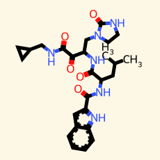 CC(C)CC(NC(=O)c1cc2ccccc2[nH]1)C(=O)NC(CN1CCNC1=O)C(=O)C(=O)NCC1CC1